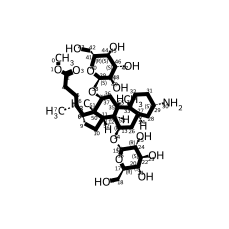 COC(=O)CC[C@@H](C)[C@H]1CC[C@H]2[C@@H]3[C@H](O[C@H]4O[C@H](CO)[C@@H](O)[C@H](O)[C@H]4O)C[C@@H]4C[C@@H](N)CC[C@]4(C)[C@H]3C[C@H](O[C@H]3O[C@H](CO)[C@@H](O)[C@H](O)[C@H]3O)[C@]12C